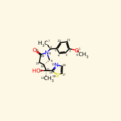 COc1ccc([C@H](C)N2C[C@H]([C@](C)(O)c3nccs3)CC2=O)cc1